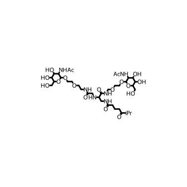 CC(=O)NC1C(OCCOCCNC(=O)CNC(CNC(=O)CCCC(=O)C(C)C)C(=O)NCOCCOC2OC(CO)C(O)C(O)C2NC(C)=O)OC(CO)C(O)C1O